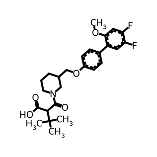 COc1cc(F)c(F)cc1-c1ccc(OCC2CCCN(C(=O)C(C(=O)O)C(C)(C)C)C2)cc1